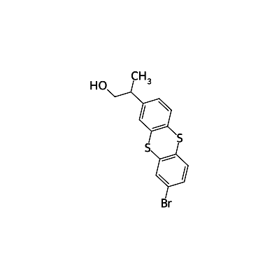 CC(CO)c1ccc2c(c1)Sc1cc(Br)ccc1S2